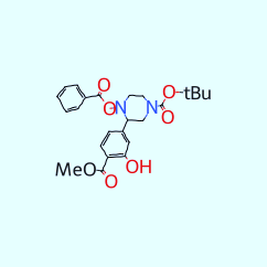 COC(=O)c1ccc(C2CN(C(=O)OC(C)(C)C)CCN2OC(=O)c2ccccc2)cc1O